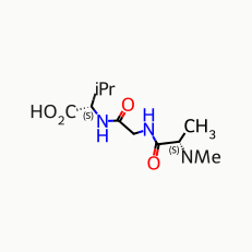 CN[C@@H](C)C(=O)NCC(=O)N[C@H](C(=O)O)C(C)C